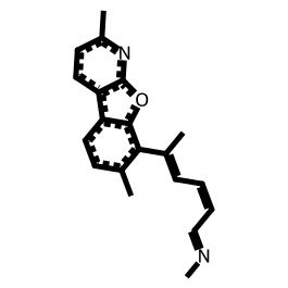 C/N=C/C=C\C=C(/C)c1c(C)ccc2c1oc1nc(C)ccc12